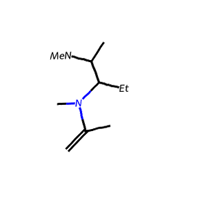 C=C(C)N(C)C(CC)C(C)NC